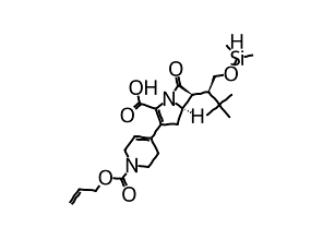 C=CCOC(=O)N1CC=C(C2=C(C(=O)O)N3C(=O)[C@@H]([C@@H](CO[SiH](C)C)C(C)(C)C)[C@H]3C2)CC1